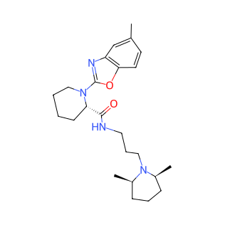 Cc1ccc2oc(N3CCCC[C@H]3C(=O)NCCCN3[C@H](C)CCC[C@@H]3C)nc2c1